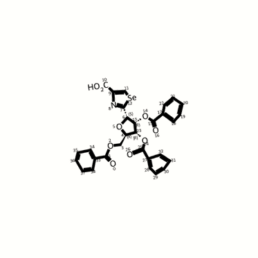 O=C(OC[C@H]1O[C@H](c2nc(C(=O)O)c[se]2)[C@H](OC(=O)c2ccccc2)[C@@H]1OC(=O)c1ccccc1)c1ccccc1